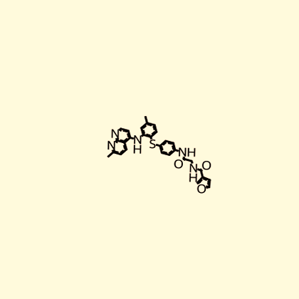 Cc1ccc(Sc2ccc(NC(=O)CNC(=O)c3ccoc3)cc2)c(Nc2ccnc3nc(C)ccc23)c1